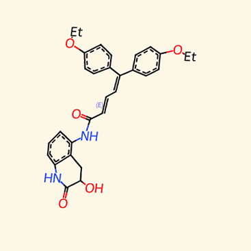 CCOc1ccc(C(=C/C=C/C(=O)Nc2cccc3c2CC(O)C(=O)N3)c2ccc(OCC)cc2)cc1